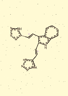 C(=C\c1[nH]c2ccccc2c1/C=C/c1nnn[nH]1)/c1nnn[nH]1